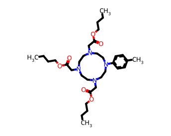 CCCCOC(=O)CN1CCN(CC(=O)OCCCC)CCN(c2ccc(C)cc2)CCN(CC(=O)OCCCC)CC1